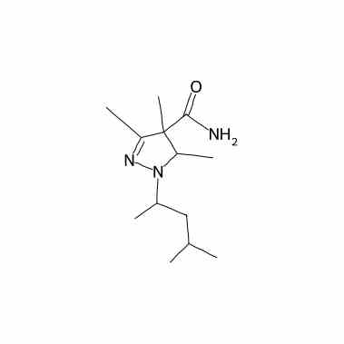 CC1=NN(C(C)CC(C)C)C(C)C1(C)C(N)=O